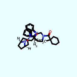 CCOC(=O)C1(C(=O)N2CCC(CCN3[C@@H]4CC[C@H]3C[C@@H](n3c(C)nc5ccccc53)C4)(c3ccccc3)CC2)CCCCC1